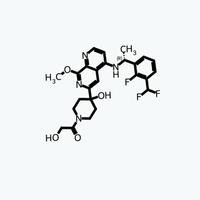 COc1nc(C2(O)CCN(C(=O)CO)CC2)cc2c(N[C@H](C)c3cccc(C(F)F)c3F)ccnc12